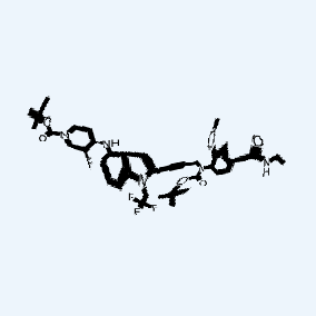 CCNC(=O)c1ccc(N(CC#Cc2cc3c(N[C@@H]4CCN(C(=O)OC(C)(C)C)C[C@@H]4F)cccc3n2CC(F)(F)F)C(=O)OC(C)(C)C)c(OC)c1